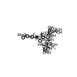 COC1(C2CCCCC2)CCN(c2ccc(-c3nnc([C@H]4CC[C@H](CN[C@@H](C[C@@H](O)CNC=O)C(=O)N[C@H](C(=O)N5C[C@H](O)C[C@H]5C(=O)N[C@H](C(=O)N[C@H](C(=O)N5C[C@@H](O)[C@@H](C)C5)[C@H](O)CCNC(CO)CO)[C@H](O)Cc5ccc(O)c(OS(=O)(=O)O)c5)[C@@H](C)O)CC4)s3)c(F)c2)CC1